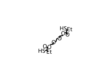 CCC(S)C(=O)OCCOCCOCCOC(=O)C(S)CC